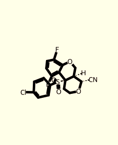 N#C[C@@H]1OCC[C@@]2(S(=O)(=O)c3ccc(Cl)cc3)c3c(F)ccc(F)c3OC[C@@H]12